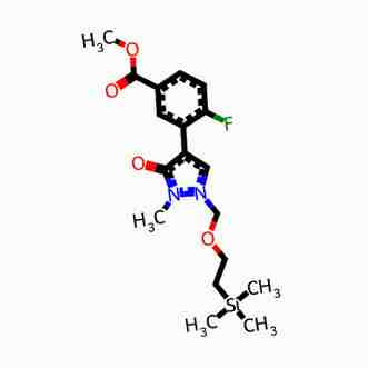 COC(=O)c1ccc(F)c(-c2cn(COCC[Si](C)(C)C)n(C)c2=O)c1